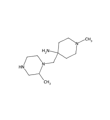 CC1CNCCN1CC1(N)CCN(C)CC1